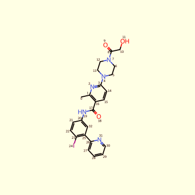 Cc1nc(N2CCN(C(=O)CO)CC2)ccc1C(=O)Nc1ccc(I)c(-c2ccccn2)c1